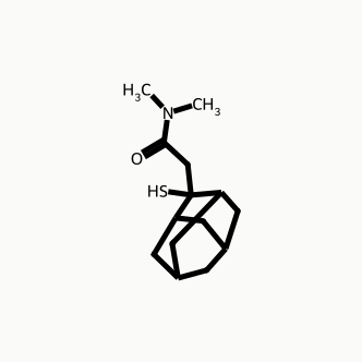 CN(C)C(=O)CC1(S)C2CC3CC(C2)CC1C3